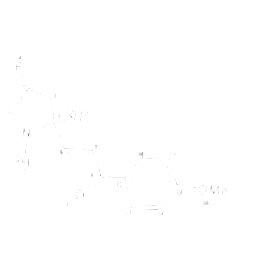 [2H]N1CC(F)CC1([2H])CCC(=O)c1ccc(OC)cc1